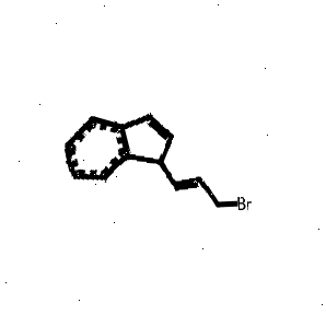 BrCC=CC1C=Cc2ccc[c]c21